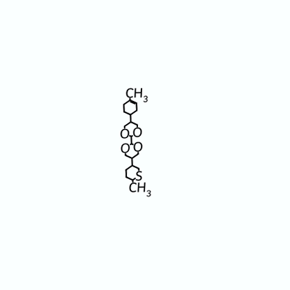 CC1=CCC(C2COC(C3OCC(C4CCC(C)SC4)CO3)OC2)CC1